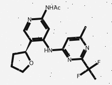 CC(=O)Nc1cc(Nc2cc(C)nc(C(C)(F)F)n2)c([C@@H]2CCCO2)cn1